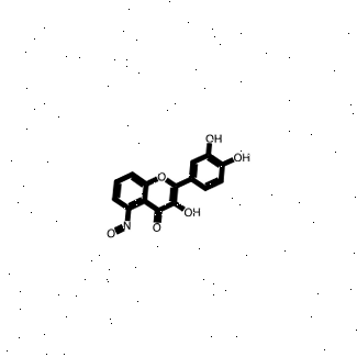 O=Nc1cccc2oc(-c3ccc(O)c(O)c3)c(O)c(=O)c12